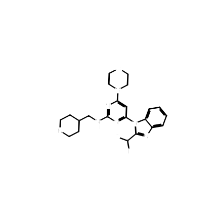 FC(F)c1nc2ccccc2n1-c1cc(N2CCOCC2)nc(NCC2CCNCC2)n1